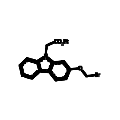 CCOC(=O)Cn1c2ccccc2c2ccc(OCBr)cc21